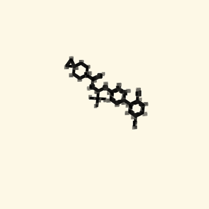 CC(C)(C)C(OC(=O)N1CCC2(CC1)CC2)Oc1ccc(-c2cc(F)ccc2Cl)nn1